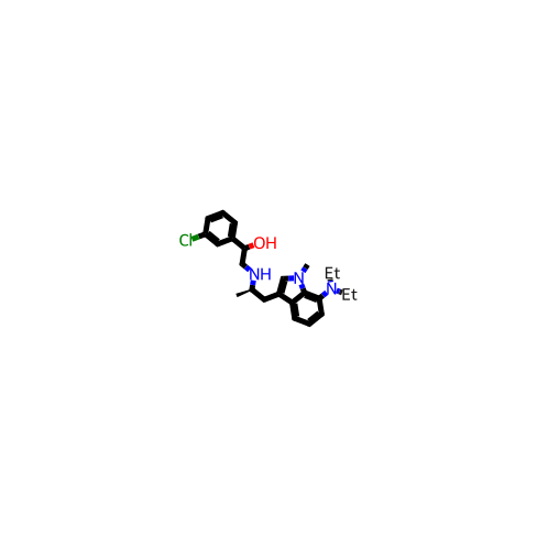 CCN(CC)c1cccc2c(C[C@@H](C)NCC(O)c3cccc(Cl)c3)cn(C)c12